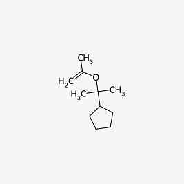 C=C(C)OC(C)(C)C1CCCC1